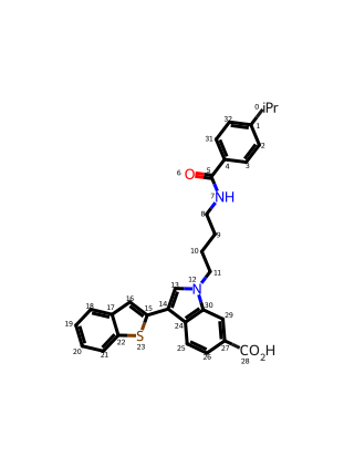 CC(C)c1ccc(C(=O)NCCCCn2cc(-c3cc4ccccc4s3)c3ccc(C(=O)O)cc32)cc1